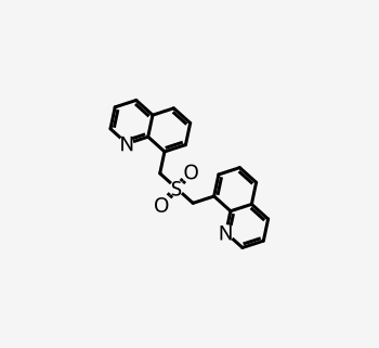 O=S(=O)(Cc1cccc2cccnc12)Cc1cccc2cccnc12